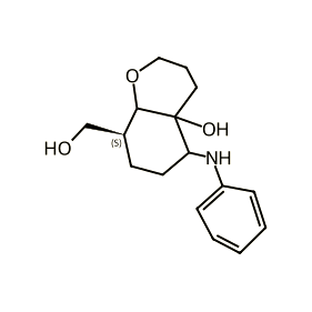 OC[C@@H]1CCC(Nc2ccccc2)C2(O)CCCOC12